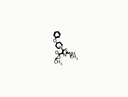 CCOC(=O)c1nc(NC)sc1N1CCC(Oc2ccccc2)CC1